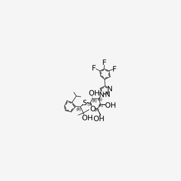 CC(C)c1ccccc1[C@@H](S[C@@H]1O[C@H](CO)[C@H](O)[C@H](n2cc(-c3cc(F)c(F)c(F)c3)nn2)[C@H]1O)C(C)(C)O